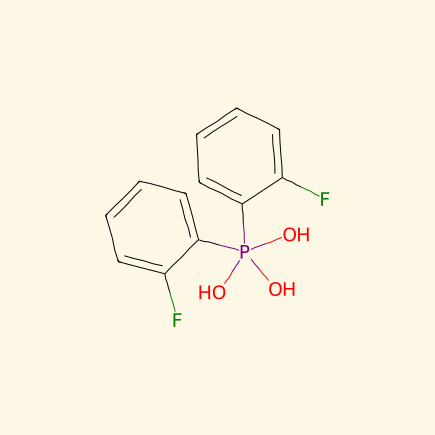 OP(O)(O)(c1ccccc1F)c1ccccc1F